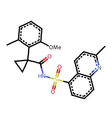 COc1cccc(C)c1C1(C(=O)NS(=O)(=O)c2cccc3nc(C)ccc23)CC1